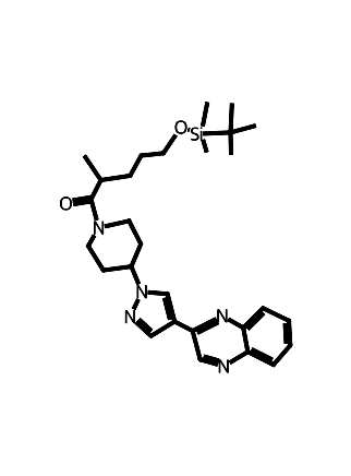 CC(CCCO[Si](C)(C)C(C)(C)C)C(=O)N1CCC(n2cc(-c3cnc4ccccc4n3)cn2)CC1